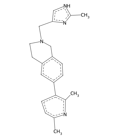 Cc1ccc(-c2ccc3c(c2)CCN(Cc2c[nH]c(C)n2)C3)c(C)n1